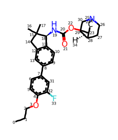 CCCOc1ccc(-c2ccc3c(c2)CC(C)(C)[C@H]3NC(=O)O[C@H]2CN3CCC2CC3)cc1F